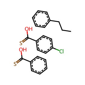 CCCc1ccccc1.OC(=S)c1ccc(Cl)cc1.OC(=S)c1ccccc1